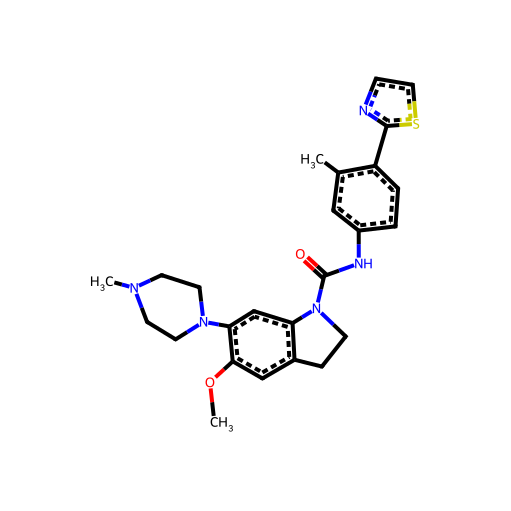 COc1cc2c(cc1N1CCN(C)CC1)N(C(=O)Nc1ccc(-c3nccs3)c(C)c1)CC2